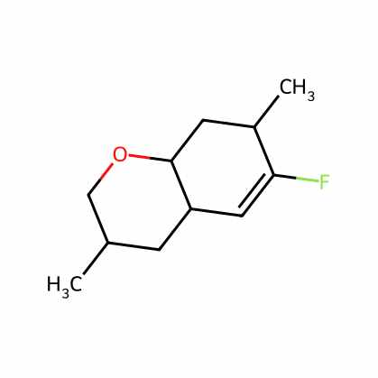 CC1COC2CC(C)C(F)=CC2C1